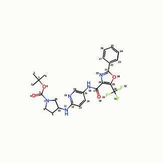 CC(C)(C)OC(=O)N1CCC(Nc2ccc(NC(=O)c3nc(-c4ccccc4)oc3C(F)(F)F)cn2)C1